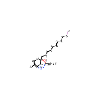 CCCCCCC(N)OC1(CCCCCCCCCCI)CCC(C)CC1